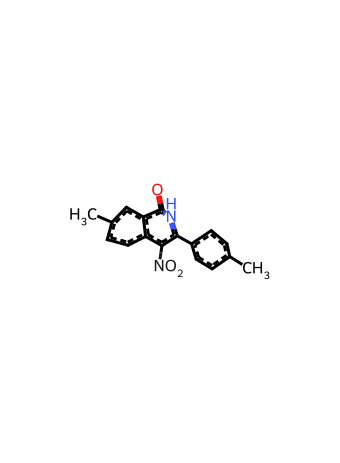 Cc1ccc(-c2[nH]c(=O)c3cc(C)ccc3c2[N+](=O)[O-])cc1